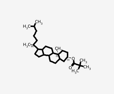 CC(C)CCC[C@@H](C)C1CCC2C1CCC1C2CCC2C[C@@H](OC(=O)C(C)(C)C)CC[C@@]21C